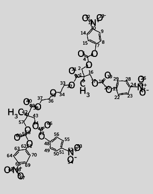 CC(COC(=O)Oc1ccc([N+](=O)[O-])cc1)(COC(=O)Oc1ccc([N+](=O)[O-])cc1)C(=O)OCCOCCOC(=O)C(C)(COC(=O)Oc1ccc([N+](=O)[O-])cc1)COC(=O)Oc1ccc([N+](=O)[O-])cc1